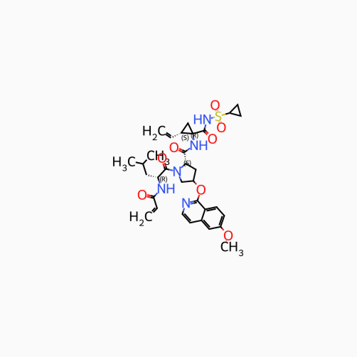 C=CC(=O)N[C@H](CC(C)C)C(=O)N1CC(Oc2nccc3cc(OC)ccc23)C[C@H]1C(=O)N[C@]1(C(=O)NS(=O)(=O)C2CC2)C[C@H]1C=C